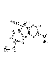 C#CC(O)(c1ccc(OCC)cc1)c1ccc(OCC)cc1